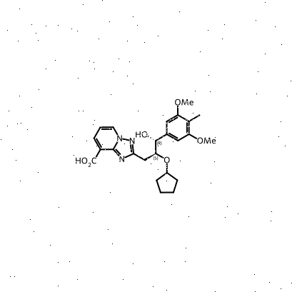 COc1cc([C@@H](O)[C@H](Cc2nc3c(C(=O)O)cccn3n2)OC2CCCC2)cc(OC)c1C